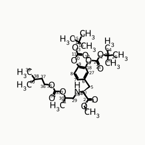 COC(=O)[C@H](Cc1ccc(OC(=O)OC(C)(C)C)c(OC(=O)OC(C)(C)C)c1)NCC(C)OC(=O)OCCC(C)C